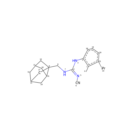 Cc1c(N/C(=N/C#N)NCC23CC4CC(CC2C4)C3)cccc1C(C)C